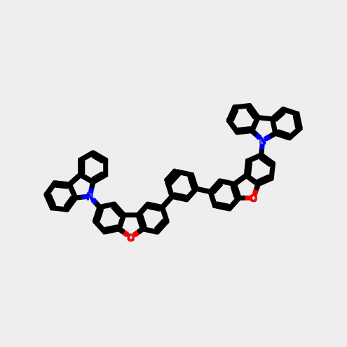 c1cc(-c2ccc3oc4ccc(-n5c6ccccc6c6ccccc65)cc4c3c2)cc(-c2ccc3oc4ccc(-n5c6ccccc6c6ccccc65)cc4c3c2)c#1